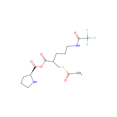 CC(=O)SCC(CCCNC(=O)C(F)(F)F)C(=O)OC(=O)[C@@H]1CCCN1